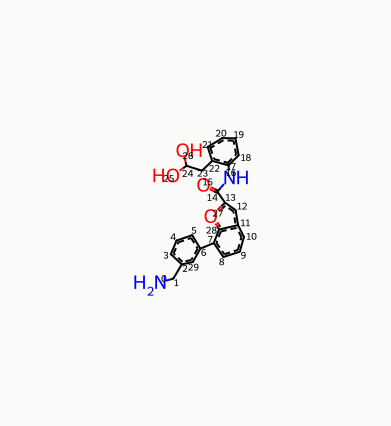 NCc1cccc(-c2cccc3cc(C(=O)Nc4ccccc4CC(O)O)oc23)c1